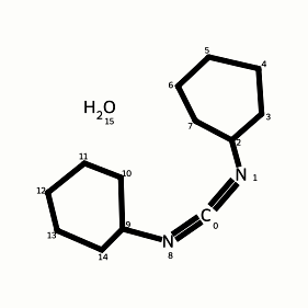 C(=NC1CCCCC1)=NC1CCCCC1.O